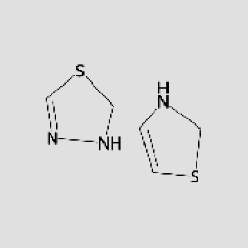 C1=CSCN1.C1=NNCS1